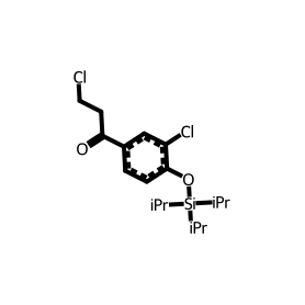 CC(C)[Si](Oc1ccc(C(=O)CCCl)cc1Cl)(C(C)C)C(C)C